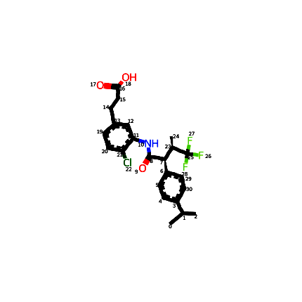 CC(C)c1ccc([C@@H](C(=O)Nc2cc(CCC(=O)O)ccc2Cl)[C@@H](C)C(F)(F)F)cc1